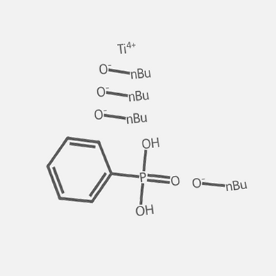 CCCC[O-].CCCC[O-].CCCC[O-].CCCC[O-].O=P(O)(O)c1ccccc1.[Ti+4]